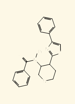 CC(C)N(C(=O)c1ccccc1)C1CNCCC1c1nc(-c2ccccc2)co1